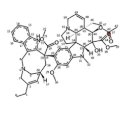 CCC1=C[C@@H]2CN(C1)Cc1c([nH]c3ccccc13)[C@@](C(=O)OC)(c1cc3c(cc1OC)N(C)[C@H]1C(O)(C(=O)OC)[C@H](OC(C)=O)[C@]4(CC)C=CCN5CCC31[C@@H]54)C2